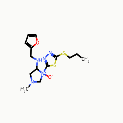 CCCSc1nnc([N+]2([O-])CN(C)CC2NCc2ccco2)s1